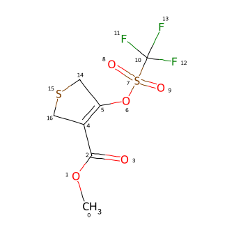 COC(=O)C1=C(OS(=O)(=O)C(F)(F)F)CSC1